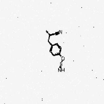 CC(C#N)Cc1ccc(OB=N)cc1